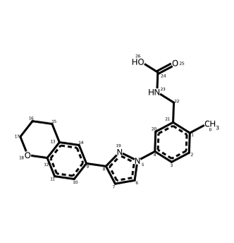 Cc1ccc(-n2ccc(-c3ccc4c(c3)CCCO4)n2)cc1CNC(=O)O